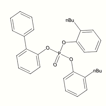 CCCCc1ccccc1OP(=O)(Oc1ccccc1CCCC)Oc1ccccc1-c1ccccc1